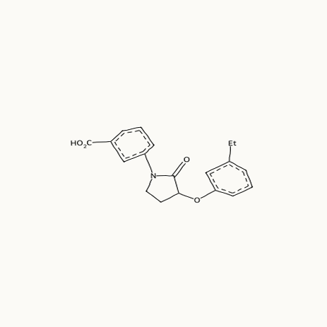 CCc1cccc(OC2CCN(c3cccc(C(=O)O)c3)C2=O)c1